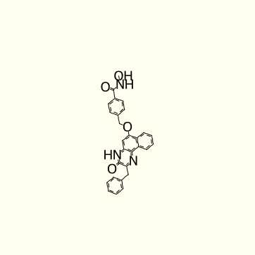 O=C(NO)c1ccc(COc2cc3[nH]c(=O)c(Cc4ccccc4)nc3c3ccccc23)cc1